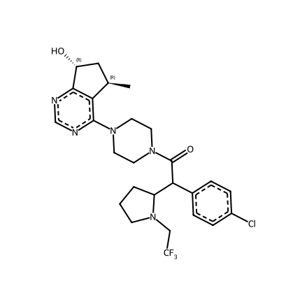 C[C@@H]1C[C@@H](O)c2ncnc(N3CCN(C(=O)C(c4ccc(Cl)cc4)C4CCCN4CC(F)(F)F)CC3)c21